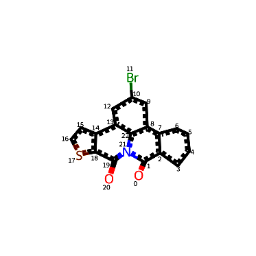 O=c1c2ccccc2c2cc(Br)cc3c4ccsc4c(=O)n1c23